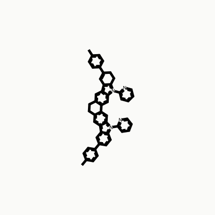 Cc1ccc(C2=Cc3c(n(-c4ccccn4)c4cc5c(cc34)CCc3cc4c6cc(-c7ccc(C)cc7)ccc6n(-c6ccccn6)c4cc3-5)CC2)cc1